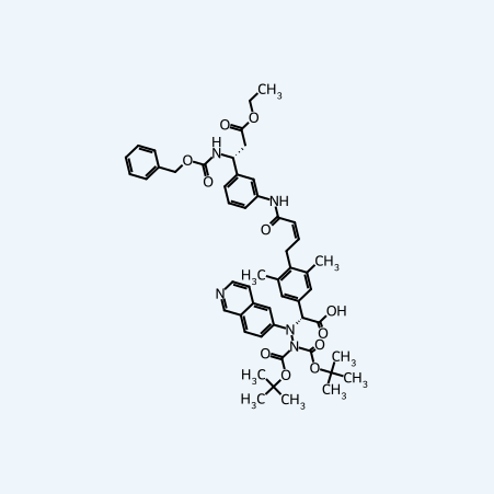 CCOC(=O)C[C@@H](NC(=O)OCc1ccccc1)c1cccc(NC(=O)/C=C\Cc2c(C)cc([C@H](C(=O)O)N(c3ccc4cnccc4c3)N(C(=O)OC(C)(C)C)C(=O)OC(C)(C)C)cc2C)c1